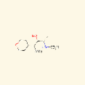 CNC(C1CCOCC1)[C@H](O)[C@H](C)NC(=O)O